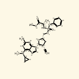 C#C[C@H]1C[C@@H](CO[P@](=O)(N[C@@H](C)C(=O)OC(C)C)Oc2ccccc2)O[C@H]1n1cnc2c(N(C)C3CC3)nc(N)nc21